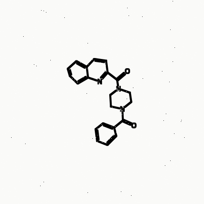 O=C(c1ccccc1)N1CCN(C(=O)c2ccc3ccccc3n2)CC1